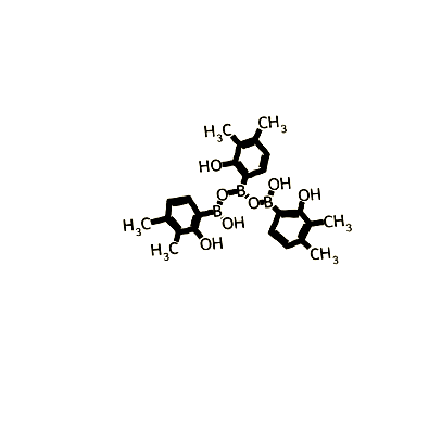 Cc1ccc(B(O)OB(OB(O)c2ccc(C)c(C)c2O)c2ccc(C)c(C)c2O)c(O)c1C